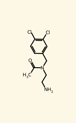 CC(=O)N(CCN)Cc1ccc(Cl)c(Cl)c1